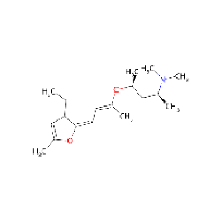 CCC1C=C(C)O/C1=C/C=C(\C)O[C@@H](C)C[C@H](C)N(C)C